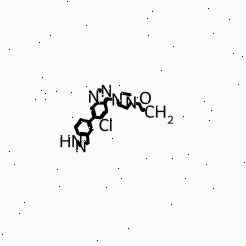 C=CC(=O)N1CCN(c2ncnc3cc(-c4ccc5[nH]ncc5c4)c(Cl)cc23)CC1